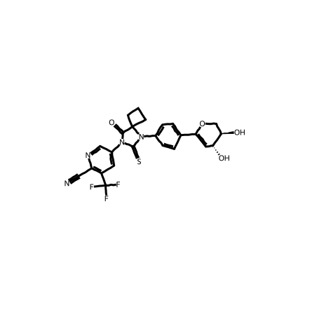 N#Cc1ncc(N2C(=O)C3(CCC3)N(c3ccc(C4=C[C@@H](O)[C@H](O)CO4)cc3)C2=S)cc1C(F)(F)F